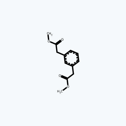 COC(=O)Cc1cccc(CC(=O)OC)c1